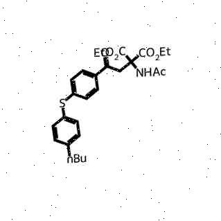 CCCCc1ccc(Sc2ccc(C(=O)CC(NC(C)=O)(C(=O)OCC)C(=O)OCC)cc2)cc1